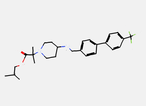 CC(C)COC(=O)C(C)(C)N1CCC(NCc2ccc(-c3ccc(C(F)(F)F)cc3)cc2)CC1